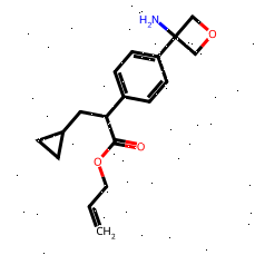 C=CCOC(=O)C(CC1CC1)c1ccc(C2(N)COC2)cc1